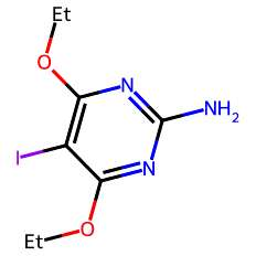 CCOc1nc(N)nc(OCC)c1I